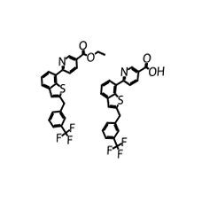 CCOC(=O)c1ccc(-c2cccc3cc(Cc4cccc(C(F)(F)F)c4)sc23)nc1.O=C(O)c1ccc(-c2cccc3cc(Cc4cccc(C(F)(F)F)c4)sc23)nc1